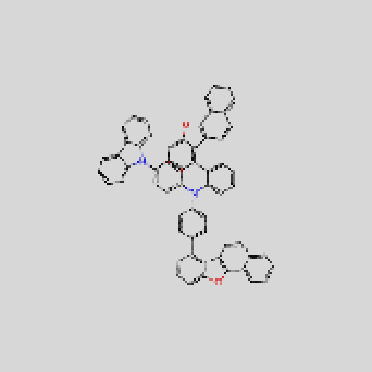 c1ccc(N(c2ccc(-c3cccc4oc5c6ccccc6ccc5c34)cc2)c2ccc(-n3c4ccccc4c4ccccc43)cc2)c(-c2cccc3oc4c5ccccc5ccc4c23)c1